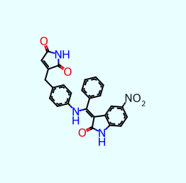 O=C1C=C(Cc2ccc(N/C(=C3\C(=O)Nc4ccc([N+](=O)[O-])cc43)c3ccccc3)cc2)C(=O)N1